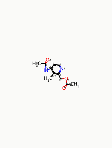 CC(=O)Nc1ccnc(COC(C)=O)c1C